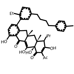 CCc1ccc(CCCCc2ccc(C)cc2)cc1-c1ccc(O)c2c1C[C@]1(C)C[C@]3(C)C(C(C)C)C(O)=C(C(C)=O)C(=O)[C@]3(O)C(O)=C1C2=O